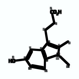 Cc1c(CCC(=O)O)c2cc(O)ccc2n1C